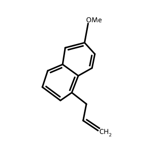 C=CCc1cccc2cc(OC)ccc12